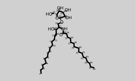 CCCCCCCCCCCCC/C=C/[C@@H](O)C(CO[C@H]1O[C@H](CO)[C@H](O)[C@H](O)[C@H]1O)NC(=O)CCCCCCCCCCCCCCC